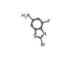 Nc1cc(F)c2nc(Br)sc2c1